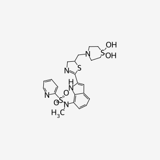 CN(c1cccc2cc(C3=NCC(CN4CCS(O)(O)CC4)S3)[nH]c12)S(=O)(=O)c1ccccn1